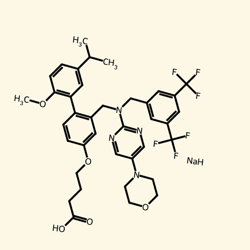 COc1ccc(C(C)C)cc1-c1ccc(OCCCC(=O)O)cc1CN(Cc1cc(C(F)(F)F)cc(C(F)(F)F)c1)c1ncc(N2CCOCC2)cn1.[NaH]